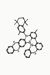 Cc1cc2c3c(c1)N(c1cc4c(cc1C)C(C)(C)CCC4(C)C)c1cc4c(cc1B3N1c3ccccc3Sc3cccc-2c31)Sc1ccccc1S4